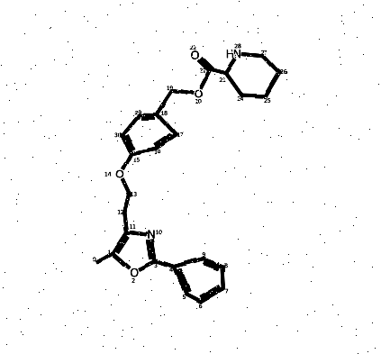 Cc1oc(-c2ccccc2)nc1CCOc1ccc(COC(=O)C2CCCCN2)cc1